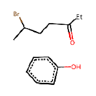 CCC(=O)CCC(C)Br.Oc1ccccc1